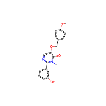 COc1ccc(COc2cnc(-c3cccc(O)c3)n(C)c2=O)cc1